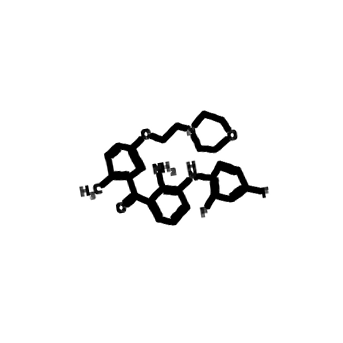 Cc1ccc(OCCN2CCOCC2)cc1C(=O)c1cccc(Nc2ccc(F)cc2F)c1N